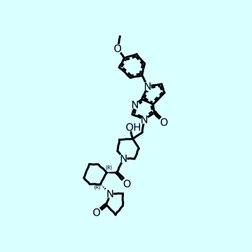 COc1ccc(-n2ccc3c(=O)n(CC4(O)CCN(C(=O)[C@@H]5CCCC[C@H]5N5CCCC5=O)CC4)cnc32)cc1